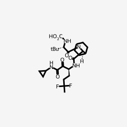 CC(F)(F)CC[C@H](NC(=O)[C@@H]1C2CCC(CC2)N1C(=O)[C@@H](NC(=O)O)C(C)(C)C)C(=O)C(=O)NC1CC1